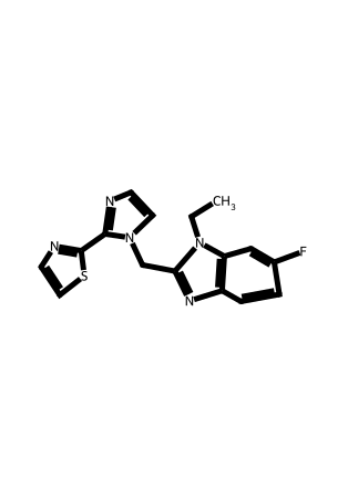 CCn1c(Cn2ccnc2-c2nccs2)nc2ccc(F)cc21